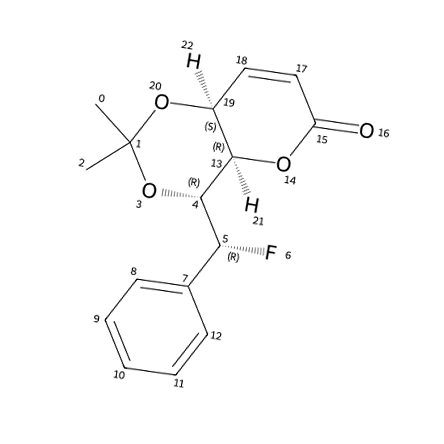 CC1(C)O[C@@H]([C@H](F)c2ccccc2)[C@@H]2OC(=O)C=C[C@@H]2O1